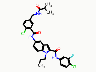 CCCn1c(C(=O)Nc2ccc(Cl)c(F)c2)cc2cc(NC(=O)c3cc(CNC(=O)C(C)C)ccc3Cl)ccc21